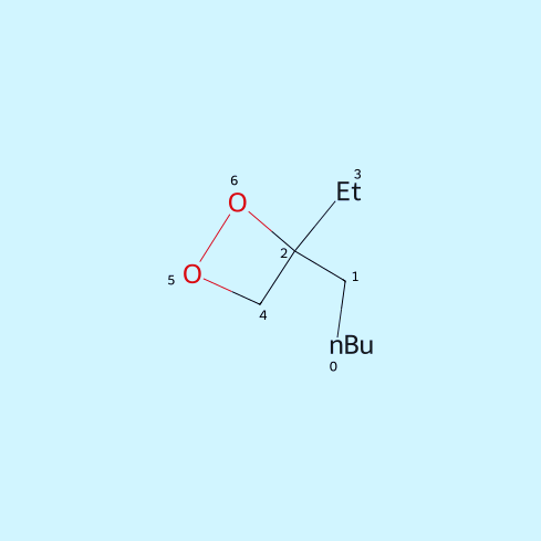 CCCCCC1(CC)COO1